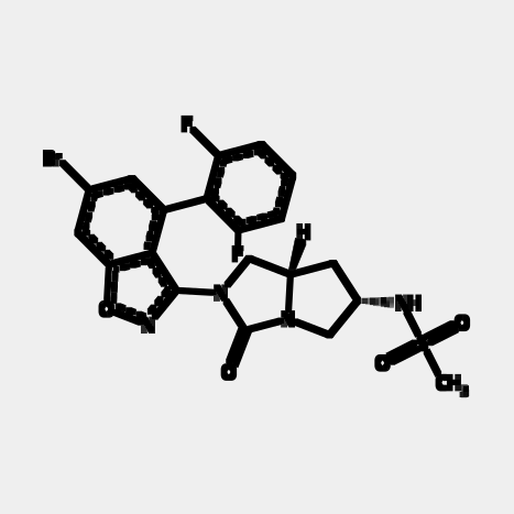 CS(=O)(=O)N[C@H]1C[C@H]2CN(c3noc4cc(Br)cc(-c5c(F)cccc5F)c34)C(=O)N2C1